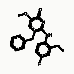 CCc1cc(F)ccc1Nc1nc(=O)c(OC)cn1Cc1ccccc1